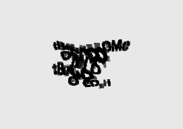 COc1ccc2c(OC3CC(C(=O)O)N(C(=O)C(NC(=O)NC(C)(C)C)C(C)(C)C)C3)nc(C)cc2c1